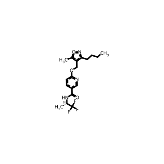 CCCCc1noc(C)c1COc1ccc(C(=O)N[C@@H](C)C(F)(F)F)cn1